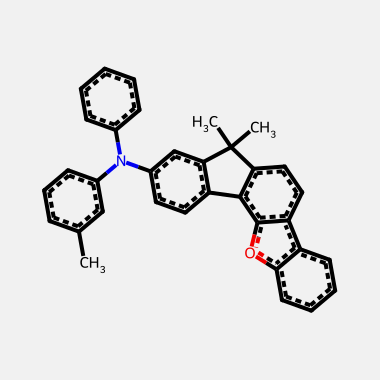 Cc1cccc(N(c2ccccc2)c2ccc3c(c2)C(C)(C)c2ccc4c(oc5ccccc54)c2-3)c1